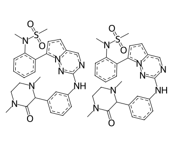 CN1CCN(C)C(c2cccc(Nc3ncc4ccc(-c5ccccc5N(C)S(C)(=O)=O)n4n3)c2)C1=O.CN1CCN(C)C(c2cccc(Nc3ncc4ccc(-c5ccccc5N(C)S(C)(=O)=O)n4n3)c2)C1=O